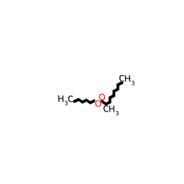 CCCCCCCCC(C)C(=O)OCCCCCCC